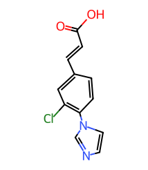 O=C(O)C=Cc1ccc(-n2ccnc2)c(Cl)c1